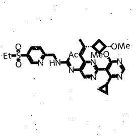 CCS(=O)(=O)c1ccc(CN/C(=N/c2cnc(-c3c(OC)ncnc3C3CC3)nc2/C=C(/C)[C@H]2C[C@@H](OC)C2)C(C)=O)nc1